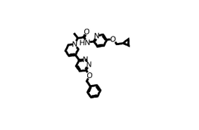 CC(C(=O)Nc1ccc(OCC2CC2)cn1)N1CCC=C(c2ccc(OCc3ccccc3)nn2)C1